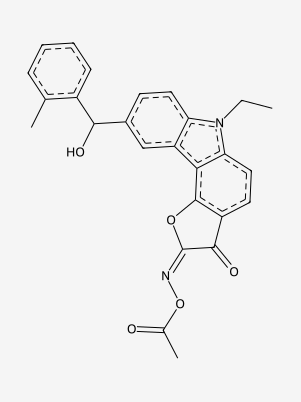 CCn1c2ccc(C(O)c3ccccc3C)cc2c2c3c(ccc21)C(=O)/C(=N\OC(C)=O)O3